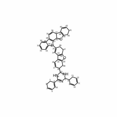 C1=CCCC(C2=NC(C3C=CC=CC3)NC(C3C=Cc4c(oc5c4C=C(n4c6c(c7ccccc74)C=CC4C7=C(CCC=C7)OC64)CC5)C3)N2)=C1